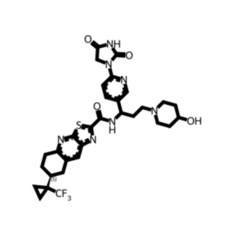 O=C1CN(c2ccc(C(CCN3CCC(O)CC3)NC(=O)c3nc4cc5c(nc4s3)CC[C@H](C3(C(F)(F)F)CC3)C5)cn2)C(=O)N1